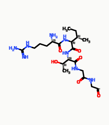 CC[C@H](C)[C@H](NC(=O)[C@@H](N)CCCNC(=N)N)C(=O)N[C@H](C(=O)NCC(=O)NC[C]=O)[C@H](C)O